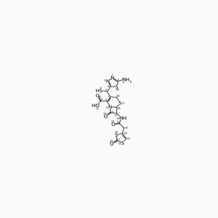 Nc1nnc(C(S)C2=C(C(=O)O)N3C(=O)C(NC(=O)Cc4csc(=O)s4)C3SC2)s1